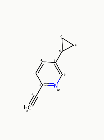 C#Cc1ccc(C2CC2)cn1